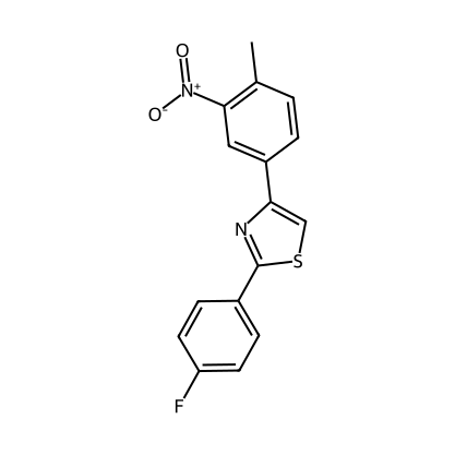 Cc1ccc(-c2csc(-c3ccc(F)cc3)n2)cc1[N+](=O)[O-]